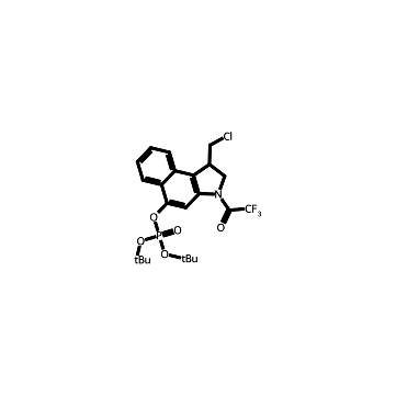 CC(C)(C)OP(=O)(Oc1cc2c(c3ccccc13)C(CCl)CN2C(=O)C(F)(F)F)OC(C)(C)C